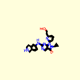 O=c1c2cnc(Nc3ccc4c(c3)CCNC4)nc2n(-c2cccc(CCO)n2)n1C1CC1